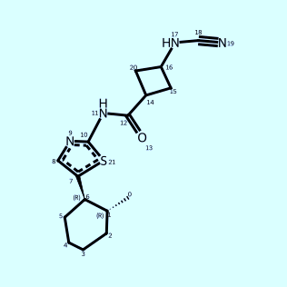 C[C@@H]1CCCC[C@H]1c1cnc(NC(=O)C2CC(NC#N)C2)s1